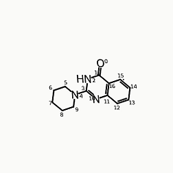 O=c1[nH]c(N2CCCCC2)nc2ccc[c]c12